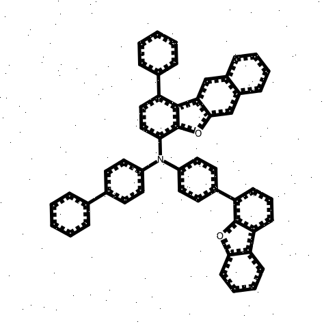 c1ccc(-c2ccc(N(c3ccc(-c4cccc5c4oc4ccccc45)cc3)c3ccc(-c4ccccc4)c4c3oc3cc5ccccc5cc34)cc2)cc1